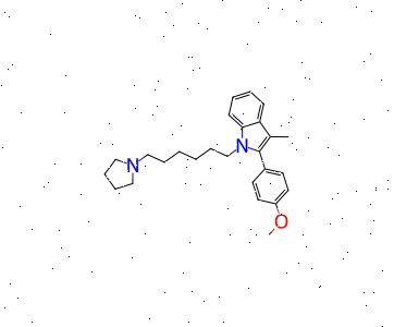 COc1ccc(-c2c(C)c3ccccc3n2CCCCCCN2CCCC2)cc1